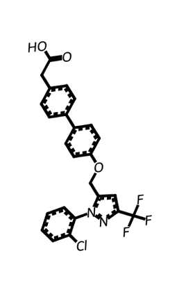 O=C(O)Cc1ccc(-c2ccc(OCc3cc(C(F)(F)F)nn3-c3ccccc3Cl)cc2)cc1